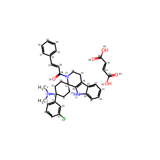 CN(C)[C@]1(c2cccc(F)c2)CC[C@]2(CC1)c1[nH]c3ccccc3c1CCN2C(=O)/C=C/c1ccccc1.O=C(O)/C=C/C(=O)O